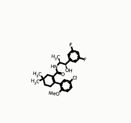 COc1ccc(Cl)cc1C1=C(C(=O)N[C@@H](C)[C@H](O)c2cc(F)cc(F)c2)CC(C)(C)CC1